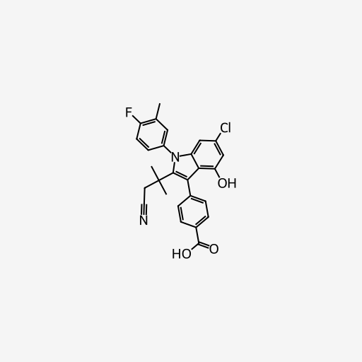 Cc1cc(-n2c(C(C)(C)CC#N)c(-c3ccc(C(=O)O)cc3)c3c(O)cc(Cl)cc32)ccc1F